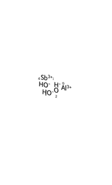 [Al+3].[OH-].[OH-].[OH-].[Sb+3]